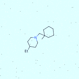 CCC1CCN(CC2(C)CCCCC2)CC1